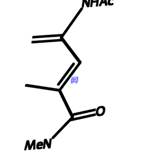 C=C(/C=C(\C)C(=O)NC)NC(C)=O